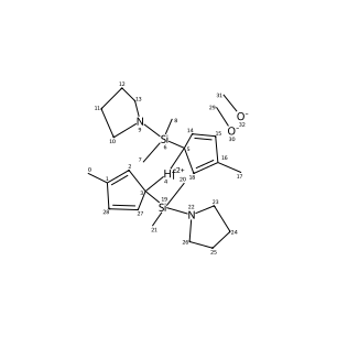 CC1=C[C]([Hf+2][C]2([Si](C)(C)N3CCCC3)C=CC(C)=C2)([Si](C)(C)N2CCCC2)C=C1.C[O-].C[O-]